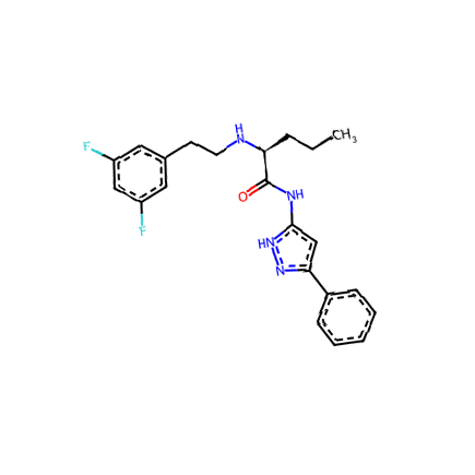 CCC[C@H](NCCc1cc(F)cc(F)c1)C(=O)Nc1cc(-c2ccccc2)n[nH]1